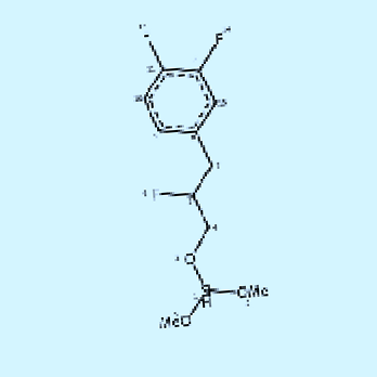 CO[SiH](OC)OCC(F)Cc1ccc(F)c(F)c1